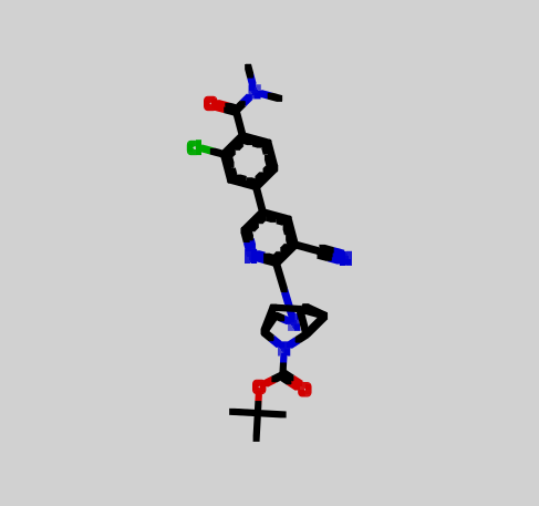 CN(C)C(=O)c1ccc(-c2cnc(N3CC4C5CC(C3)N(C(=O)OC(C)(C)C)C54)c(C#N)c2)cc1Cl